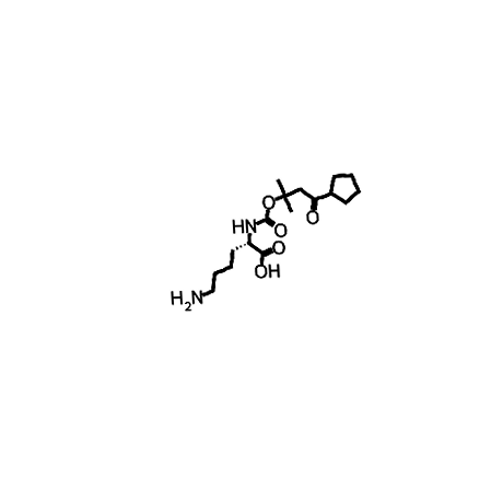 CC(C)(CC(=O)C1CCCC1)OC(=O)N[C@@H](CCCCN)C(=O)O